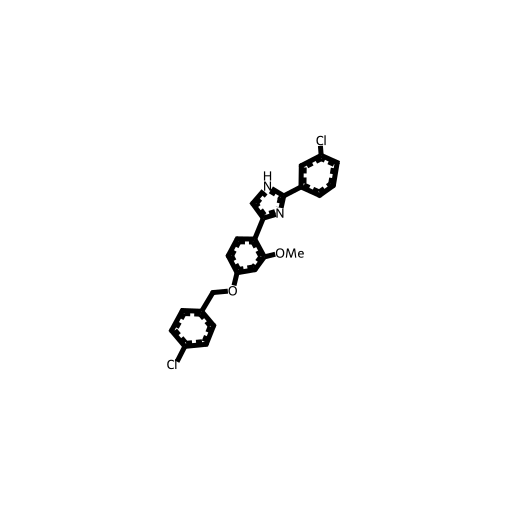 COc1cc(OCc2ccc(Cl)cc2)ccc1-c1c[nH]c(-c2cccc(Cl)c2)n1